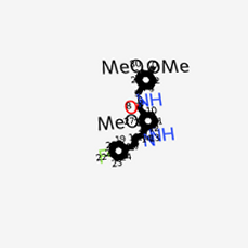 COc1ccc(CNC(=O)c2ccc3[nH]nc(C=Cc4ccc(F)cc4)c3c2OC)cc1OC